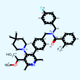 Cc1nc(C)c(C(OC(C)(C)C)C(=O)O)c(N2CCC(C)(C)CC2)c1-c1ccc(CN(Cc2ccc(F)cc2)C(=O)c2ccccc2C(F)(F)F)cc1